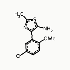 COc1ccc(Cl)cc1-c1nc(C)sc1N